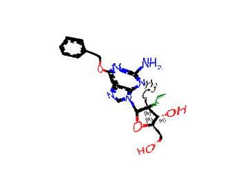 C[C@]1(F)C(n2cnc3c(OCc4ccccc4)nc(N)nc32)O[C@H](CO)[C@H]1O